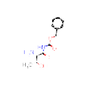 C[C@@H](O)[C@H](N)C(=O)NC(=O)OCc1ccccc1